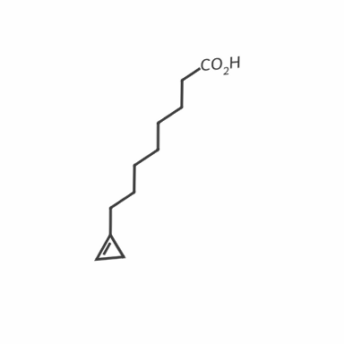 O=C(O)CCCCCCCC1=CC1